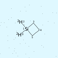 [2H][Si]1([2H])CCC1